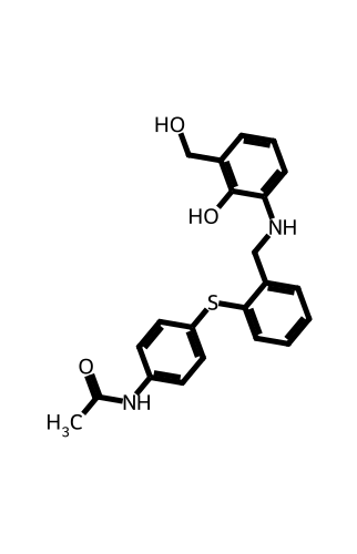 CC(=O)Nc1ccc(Sc2ccccc2CNc2cccc(CO)c2O)cc1